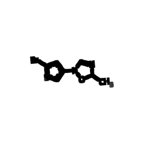 CC1N=CN(c2csc(Br)c2)O1